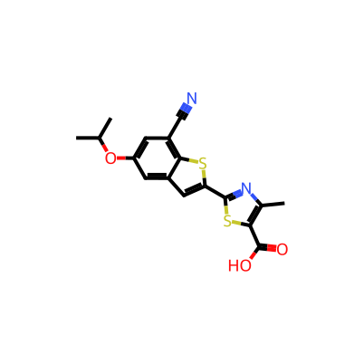 Cc1nc(-c2cc3cc(OC(C)C)cc(C#N)c3s2)sc1C(=O)O